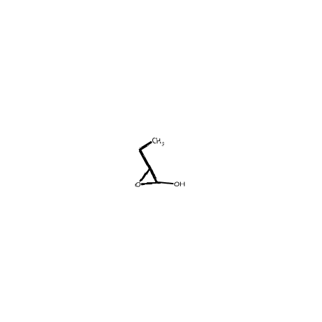 CCC1OC1O